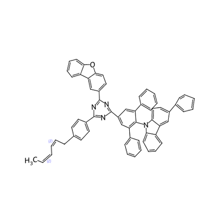 C/C=C\C=C/Cc1ccc(-c2nc(-c3cc(-c4ccccc4)c(-n4c5ccccc5c5cc(-c6ccccc6)ccc54)c(-c4ccccc4)c3)nc(-c3ccc4oc5ccccc5c4c3)n2)cc1